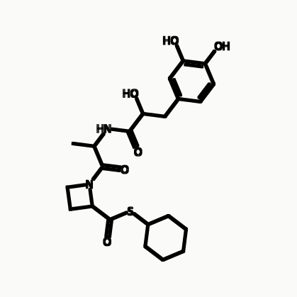 CC(NC(=O)C(O)Cc1ccc(O)c(O)c1)C(=O)N1CCC1C(=O)SC1CCCCC1